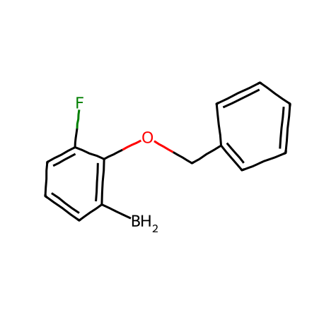 Bc1cccc(F)c1OCc1ccccc1